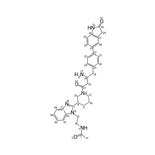 CC(=O)NCCn1c(C2CCCN(C(=O)CC(N)Cc3ccc(-c4ccc5c(c4)CC(=O)N5)cc3)C2)nc2ccccc21